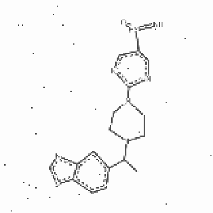 CC(c1ccc2scnc2c1)N1CCN(c2ncc([SH](=N)=O)cn2)CC1